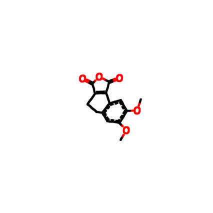 COc1cc2c(cc1OC)C1=C(CC2)C(=O)OC1=O